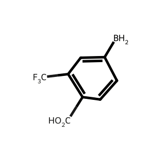 Bc1ccc(C(=O)O)c(C(F)(F)F)c1